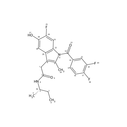 CC[C@H](C)NC(=O)Cc1c(C)n(C(=O)c2ccc(F)c(F)c2)c2cc(F)c(O)cc12